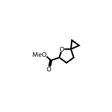 COC(=O)C1CCC2(CC2)O1